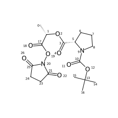 C[C@H](OC(=O)[C@@H]1CCCN1C(=O)OC(C)(C)C)C(=O)ON1C(=O)CCC1=O